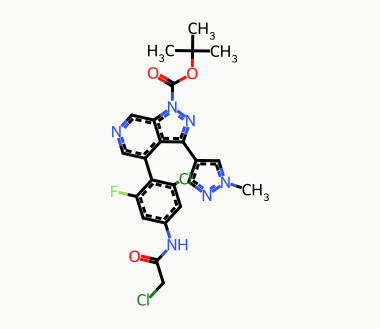 Cn1cc(-c2nn(C(=O)OC(C)(C)C)c3cncc(-c4c(F)cc(NC(=O)CCl)cc4Cl)c23)cn1